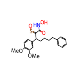 COc1ccc(C(CCCCc2ccccc2)C(=S=O)C(=O)NO)cc1OC